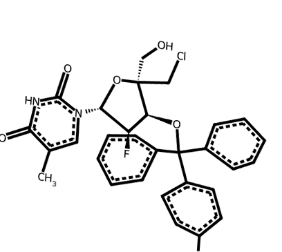 COc1ccc(C(O[C@H]2[C@@H](F)[C@H](n3cc(C)c(=O)[nH]c3=O)O[C@@]2(CO)CCl)(c2ccccc2)c2ccccc2)cc1